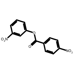 O=C(Oc1cccc([N+](=O)[O-])c1)c1ccc([N+](=O)[O-])cc1